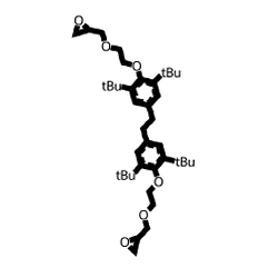 CC(C)(C)c1cc(CCc2cc(C(C)(C)C)c(OCCOCC3CO3)c(C(C)(C)C)c2)cc(C(C)(C)C)c1OCCOCC1CO1